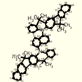 CC1(C)c2cc3c(cc2-c2cc4ccccc4cc21)C(C)(C)c1ccccc1N3c1cccc2c(N3c4ccccc4C(C)(C)c4cc5c(cc43)C(C)(C)c3cc4ccccc4cc3-5)cccc12